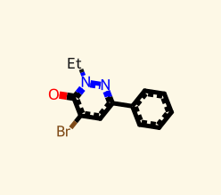 CCn1nc(-c2ccccc2)cc(Br)c1=O